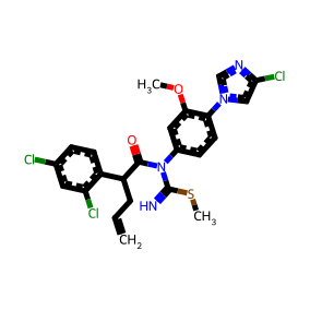 C=CCC(C(=O)N(C(=N)SC)c1ccc(-n2cnc(Cl)c2)c(OC)c1)c1ccc(Cl)cc1Cl